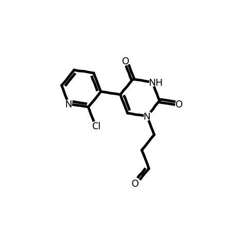 O=CCCn1cc(-c2cccnc2Cl)c(=O)[nH]c1=O